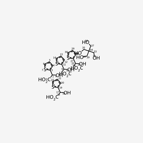 O=C(O)C(O)c1cccs1.O=C(O)C(O)c1cccs1.O=C(O)C(O)c1cccs1.O=C(O)C(O)c1cccs1.OCC(CO)(CO)CO